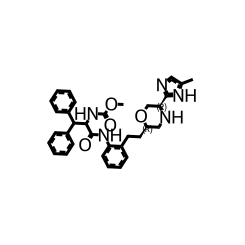 COC(=O)NC(C(=O)Nc1ccccc1CC[C@@H]1CN[C@H](c2ncc(C)[nH]2)CO1)C(c1ccccc1)c1ccccc1